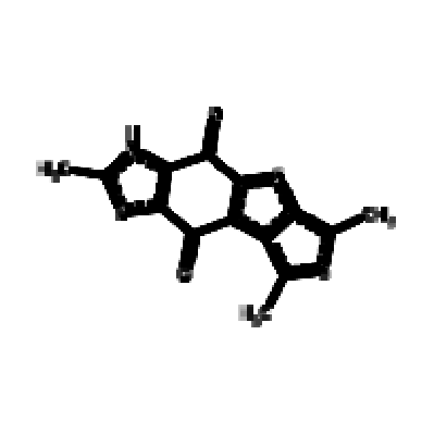 Cc1nc2c([nH]1)C(=O)c1sc3c(C)sc(C)c3c1C2=O